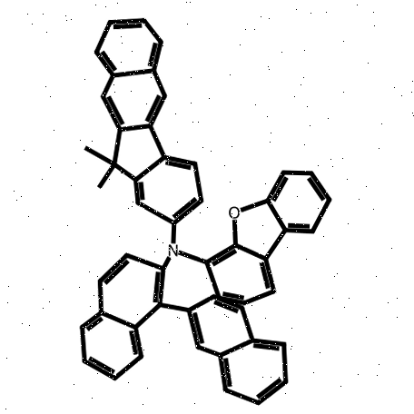 CC1(C)c2cc(N(c3ccc4ccccc4c3-c3ccc4ccccc4c3)c3cccc4c3oc3ccccc34)ccc2-c2cc3ccccc3cc21